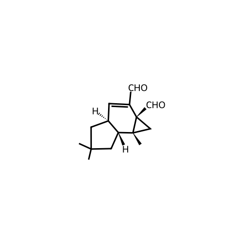 CC1(C)C[C@H]2C=C(C=O)[C@]3(C=O)C[C@]3(C)[C@@H]2C1